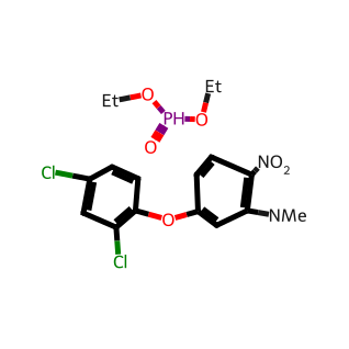 CCO[PH](=O)OCC.CNc1cc(Oc2ccc(Cl)cc2Cl)ccc1[N+](=O)[O-]